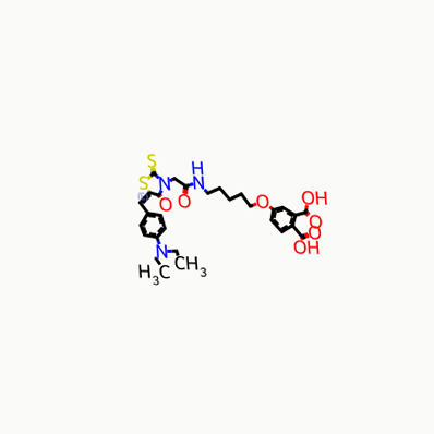 CCN(CC)c1ccc(/C=C2/SC(=S)N(CC(=O)NCCCCCOc3ccc(C(=O)O)c(C(=O)O)c3)C2=O)cc1